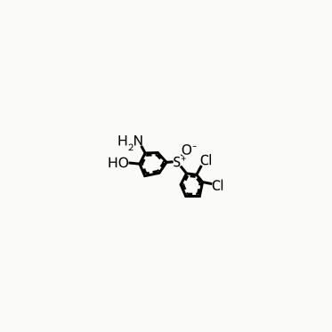 Nc1cc([S+]([O-])c2cccc(Cl)c2Cl)ccc1O